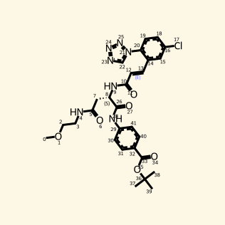 COCCNC(=O)C[C@H](NC(=O)/C=C/c1cc(Cl)ccc1-n1cnnn1)C(=O)Nc1ccc(C(=O)OC(C)(C)C)cc1